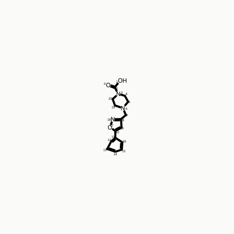 O=C(O)N1CCN(Cc2cc(-c3ccccc3)on2)CC1